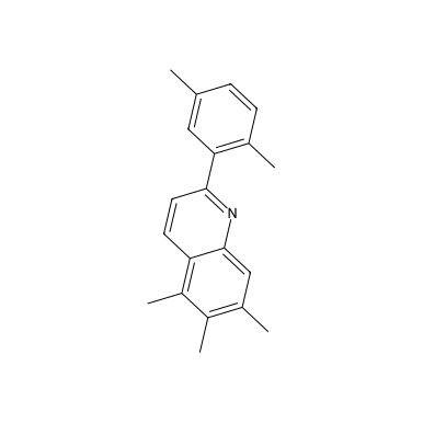 Cc1ccc(C)c(-c2ccc3c(C)c(C)c(C)cc3n2)c1